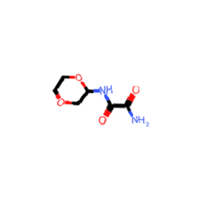 NC(=O)C(=O)NC1COCCO1